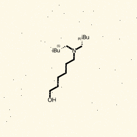 CC[C@@H](C)CN(CCCCCCO)C[C@@H](C)CC